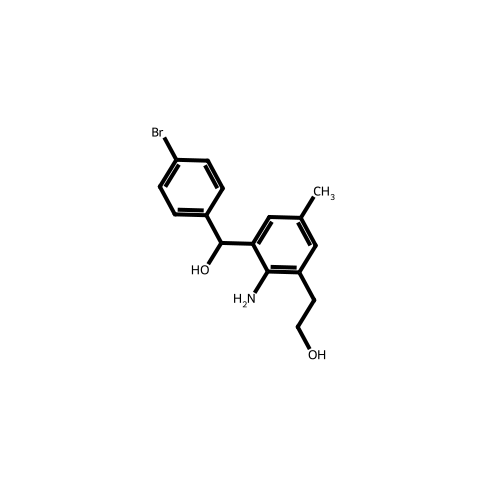 Cc1cc(CCO)c(N)c(C(O)c2ccc(Br)cc2)c1